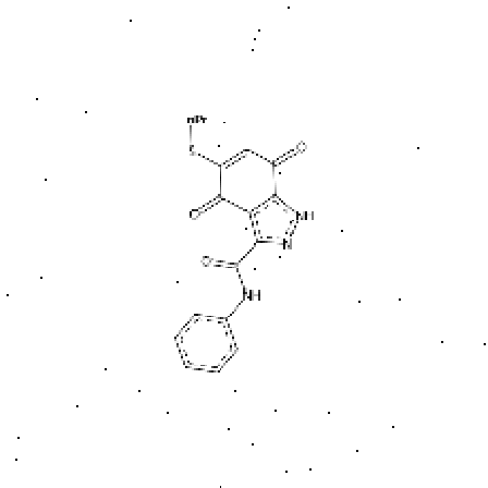 CCCSC1=CC(=O)c2[nH]nc(C(=O)Nc3ccccc3)c2C1=O